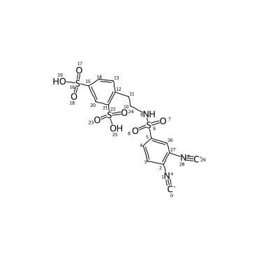 [C-]#[N+]c1ccc(S(=O)(=O)NCCc2ccc(S(=O)(=O)O)cc2S(=O)(=O)O)cc1[N+]#[C-]